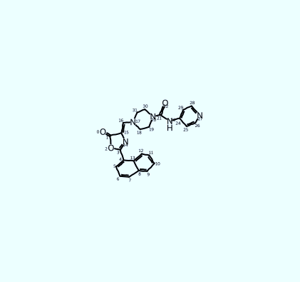 O=C1OC(c2cccc3ccccc23)=NC1=CN1CCN(C(=O)Nc2ccncc2)CC1